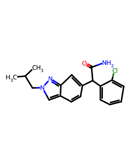 CC(C)Cn1cc2ccc(C(C(N)=O)c3ccccc3Cl)cc2n1